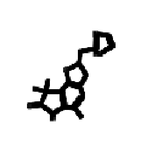 Cc1cc2c(c3c1NC(=O)C3(C)C)OC(Cc1ncc[nH]1)C2